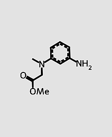 COC(=O)CN(C)c1cccc(N)c1